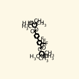 CC1(C)CC(OC(=O)c2ccc(-c3ccc(C(=O)OC4CC(C)(C)NC(C)(C)C4)c(C(F)(F)F)c3F)cc2)CC(C)(C)N1